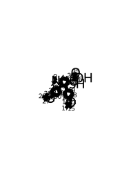 CN(C)c1ccc(S)c(-c2ccc(OC(C)(C)C)cc2)c1-c1ccc(OC(C)(C)C)cc1.CS(=O)(=O)O